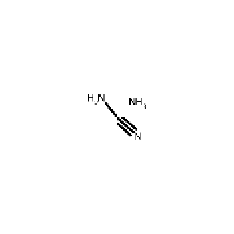 N.N#CN